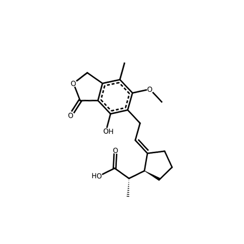 COc1c(C)c2c(c(O)c1C/C=C1\CCC[C@H]1[C@H](C)C(=O)O)C(=O)OC2